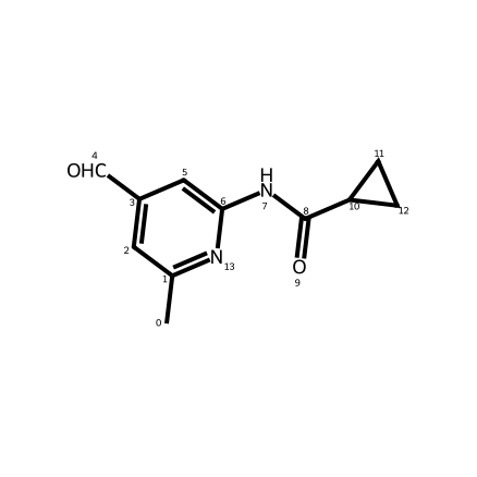 Cc1cc(C=O)cc(NC(=O)C2CC2)n1